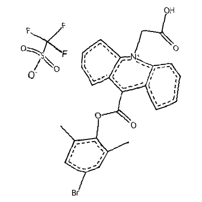 Cc1cc(Br)cc(C)c1OC(=O)c1c2ccccc2[n+](CC(=O)O)c2ccccc12.O=S(=O)([O-])C(F)(F)F